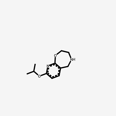 CC(C)Oc1ccc2c(n1)OCCNC2